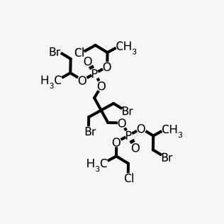 CC(CCl)OP(=O)(OCC(CBr)(CBr)COP(=O)(OC(C)CCl)OC(C)CBr)OC(C)CBr